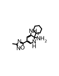 Cc1noc(C2=CNC(N)(C3CCCCC3)C(N)=C2)n1